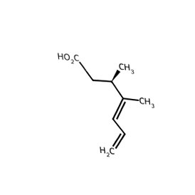 C=C/C=C(\C)[C@H](C)CC(=O)O